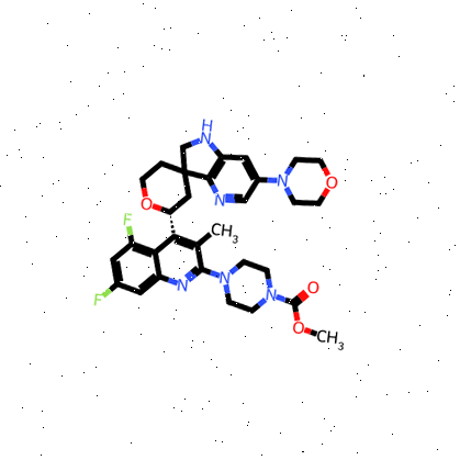 COC(=O)N1CCN(c2nc3cc(F)cc(F)c3c([C@H]3CC4(CCO3)CNc3cc(N5CCOCC5)cnc34)c2C)CC1